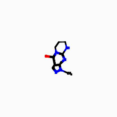 Cn1ncc2c(=O)n3c(nc21)NCCC3